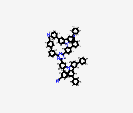 N#Cc1ccc(-c2cccc(-c3nc(-c4ccc(-c5cccc(C#N)c5)c(-n5c6ccc(-c7ccccc7)cc6c6cc(-c7ccccc7)ccc65)c4)nc(-c4ccc(-c5cccc(C#N)c5)c(-n5c6ccc(-c7ccccc7)cc6c6cc(-c7ccccc7)ccc65)c4)n3)c2)cc1